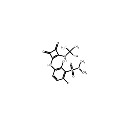 CN(C)S(=O)(=O)c1c(Cl)ccc(Nc2c(NC(C)(C)C(C)(C)C)c(=O)c2=O)c1O